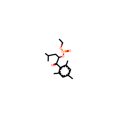 CCO[PH](=O)OC(CC(C)C)C(=O)c1c(C)cc(C)cc1C